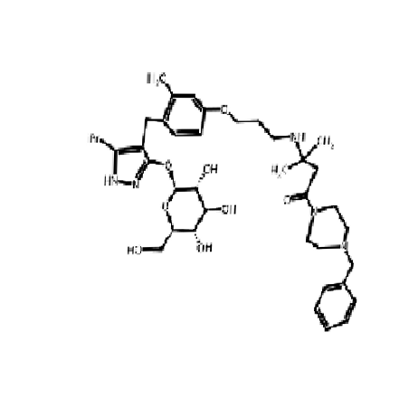 Cc1cc(OCCCNC(C)(C)CC(=O)N2CCN(Cc3ccccc3)CC2)ccc1Cc1c(O[C@@H]2O[C@H](CO)[C@@H](O)[C@H](O)[C@H]2O)n[nH]c1C(C)C